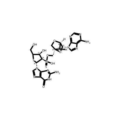 Nc1nc2c(ncn2[C@@H]2SC(CO)[C@@H](O)[C@H]2P(O)(=S)OC[C@@]23CO[C@@H]([C@H](n4cnc5c(N)ncnc54)O2)[C@@H]3O)c(=O)[nH]1